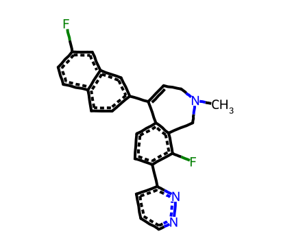 CN1CC=C(c2ccc3ccc(F)cc3c2)c2ccc(-c3cccnn3)c(F)c2C1